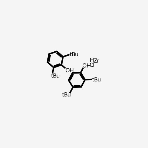 CC(C)(C)c1ccc(O)c(C(C)(C)C)c1.CC(C)(C)c1cccc(C(C)(C)C)c1O.Cl.[Zr]